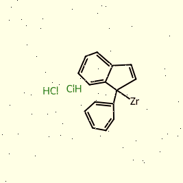 Cl.Cl.[Zr][C]1(c2ccccc2)C=Cc2ccccc21